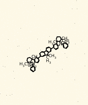 CC1(C)c2cc(-c3ccc4c(c3)C3(C)CCCC(C)(C)C3(C)N4c3ccccc3)ccc2-c2ccc(-c3ccc4c(c3)C3(C)CCCC(C)(C)C3(C)N4c3ccccc3)cc21